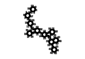 c1ccc(-c2cccc(-c3ccc(-n4c5ccccc5c5cc(-c6ccc7c(c6)c6ccccc6n7-c6ccc(-c7ccccc7)c7ccccc67)ccc54)cc3)c2)cc1